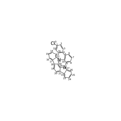 Clc1ccc(-c2cccc3c2n2c4ccccc4c4ccc5c6ccccc6n3c5c42)cc1